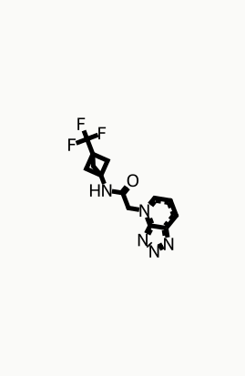 O=C(Cn1cccc2nnnc1-2)NC12CC(C(F)(F)F)(C1)C2